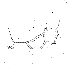 Cc1ccc2ccc(C(C)O)cc2n1